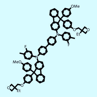 CCC1(COc2ccc(C3(c4ccc(OC)cc4)c4ccccc4-c4ccc(N(c5ccc(-c6ccc(N(c7ccc(C)c(F)c7)c7ccc8c(c7)C(c7ccc(OC)cc7)(c7ccc(OCC9(CC)COC9)cc7)c7ccccc7-8)cc6)cc5)c5ccc(C)c(F)c5)cc43)cc2)COC1